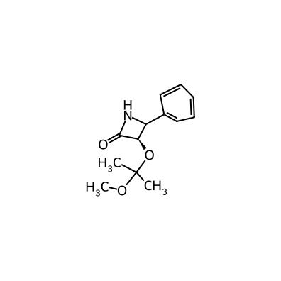 COC(C)(C)O[C@H]1C(=O)NC1c1ccccc1